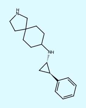 c1ccc([C@H]2C[C@@H]2NC2CCC3(CCNC3)CC2)cc1